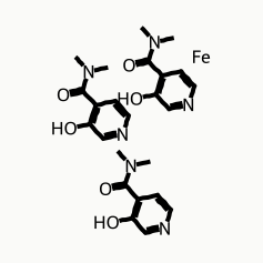 CN(C)C(=O)c1ccncc1O.CN(C)C(=O)c1ccncc1O.CN(C)C(=O)c1ccncc1O.[Fe]